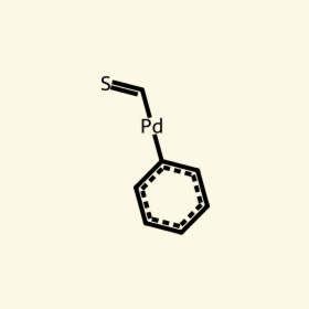 S=[CH][Pd][c]1ccccc1